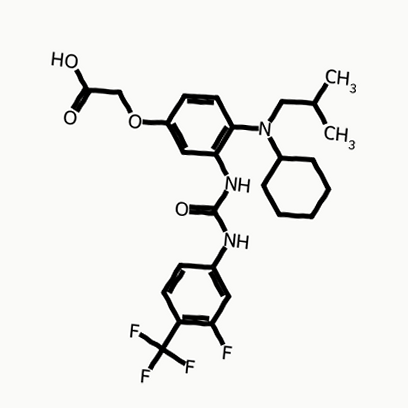 CC(C)CN(c1ccc(OCC(=O)O)cc1NC(=O)Nc1ccc(C(F)(F)F)c(F)c1)C1CCCCC1